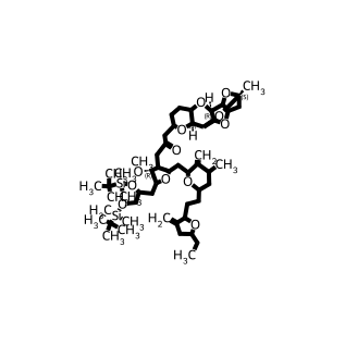 C=C1CC(CC)OC1CCC1CC(C)C(=C)C(CC2OC(CC(CO[Si](C)(C)C(C)(C)C)O[Si](C)(C)C(C)(C)C)[C@H](OC)C2CC(=O)CC2CCC3O[C@H]4C5O[C@]6(C)CC5OC4C(O6)[C@H]3O2)O1